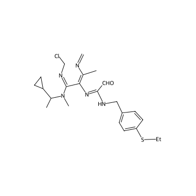 C=N/C(C)=C(/N=C(\C=O)NCc1ccc(SCC)cc1)C(=N/CCl)\N(C)C(C)C1CC1